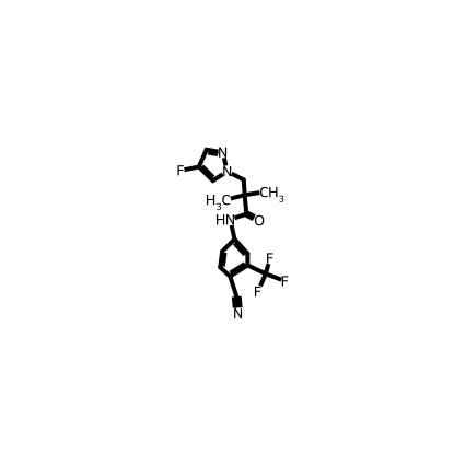 CC(C)(Cn1cc(F)cn1)C(=O)Nc1ccc(C#N)c(C(F)(F)F)c1